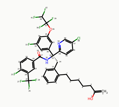 C=C(O)CCCCCc1ccccc1C[C@](NC(=O)c1ccc(F)c(C(F)(F)F)c1)(c1cc(F)cc(OC(F)(F)C(F)F)c1)c1ccc(Cl)cn1